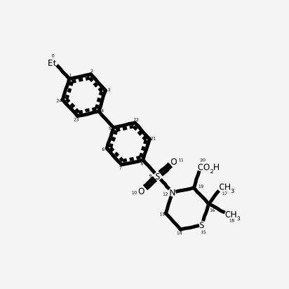 CCc1ccc(-c2ccc(S(=O)(=O)N3CCSC(C)(C)C3C(=O)O)cc2)cc1